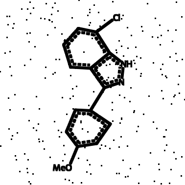 COc1ccc(-c2n[nH]c3c(Cl)cccc23)cc1